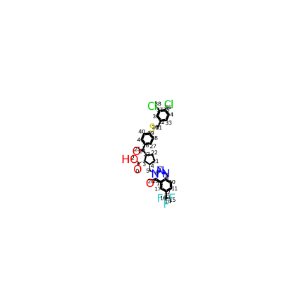 O=C(O)[C@H]1[C@H](Cn2nnc3ccc(C(F)(F)F)cc3c2=O)CC[C@@H]1C(=O)c1ccc(SCc2ccc(Cl)c(Cl)c2)cc1